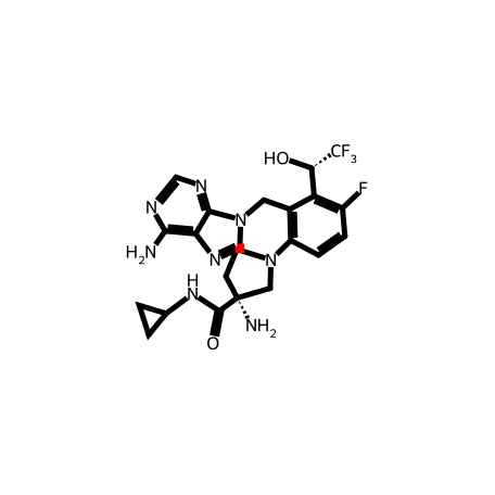 Nc1ncnc2c1ncn2Cc1c(N2CC[C@](N)(C(=O)NC3CC3)C2)ccc(F)c1[C@H](O)C(F)(F)F